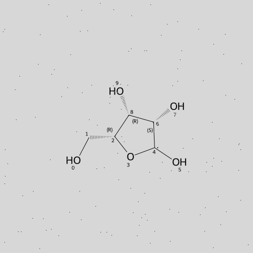 OC[C@H]1O[C](O)[C@@H](O)[C@H]1O